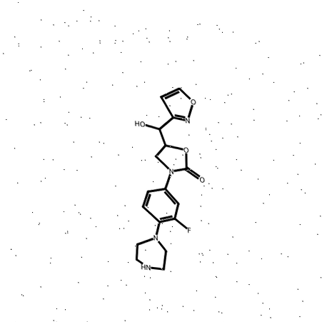 O=C1OC(C(O)c2ccon2)CN1c1ccc(N2CCNCC2)c(F)c1